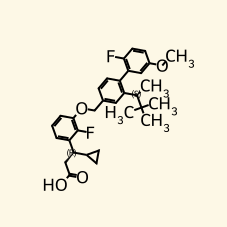 COc1ccc(F)c(-c2ccc(COc3cccc([C@H](CC(=O)O)C4CC4)c3F)cc2[C@@H](C)C(C)(C)C)c1